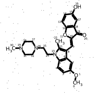 COc1ccc2c(c1)c(/C=C1\Oc3ccc(O)cc3C1=O)c(C)n2CCN1CCN(C)CC1